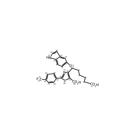 O=C(O)CCCCC(Oc1ccc2[nH]ccc2c1)c1nc(-c2ccc(C(F)(F)F)cc2)sc1C(=O)O